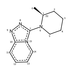 C[C@H]1CCCCN1c1nnc2ccccn12